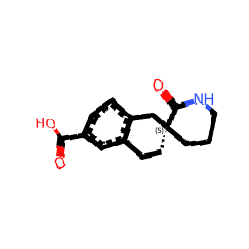 O=C(O)c1ccc2c(c1)CC[C@]1(CCCNC1=O)C2